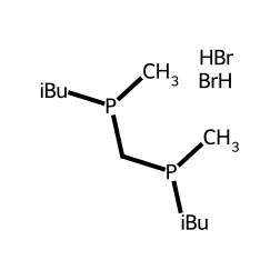 Br.Br.CCC(C)P(C)CP(C)C(C)CC